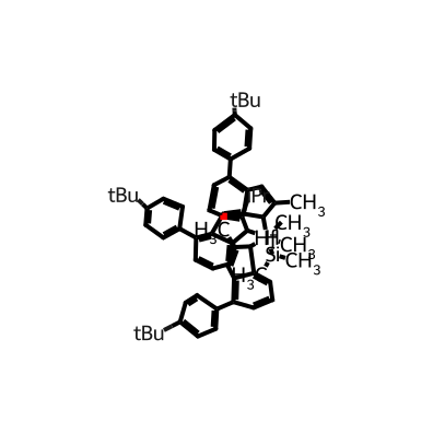 CC1=Cc2c(-c3ccc(C(C)(C)C)cc3)cccc2[CH]1[Hf]([CH3])([CH3])([CH]1C(C)=Cc2c(-c3ccc(C(C)(C)C)cc3)cccc21)([CH]1C(C(C)C)=Cc2c(-c3ccc(C(C)(C)C)cc3)cccc21)[SiH](C)C